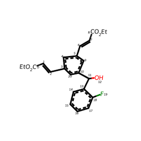 CCOC(=O)C=Cc1cc(C=CC(=O)OCC)cc(C(O)c2ccccc2F)c1